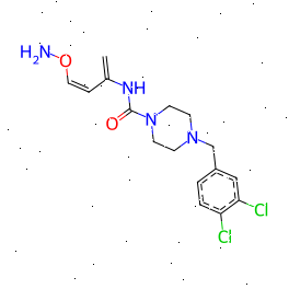 C=C(/C=C\ON)NC(=O)N1CCN(Cc2ccc(Cl)c(Cl)c2)CC1